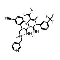 COC(=O)C1=C(C)N(c2cccc(C(F)(F)F)c2)C(=N)N(C(N)=O)[C@@H]1c1ccc(C#N)cc1CC[N+](C)(C)Cc1cccnc1